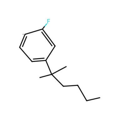 CCCCC(C)(C)c1cc[c]c(F)c1